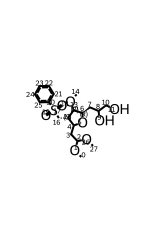 COC(CC1O[C@H](CC(O)CO)[C@H](OC)[C@H]1CS(=O)(=O)c1ccccc1)OC